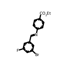 CCOC(=O)c1ccc(/N=C/c2cc(F)cc(Br)c2)cc1